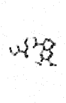 COc1cc2nncc(N3CCCC(C(=O)N4CCCC4)C3)c2cc1OC